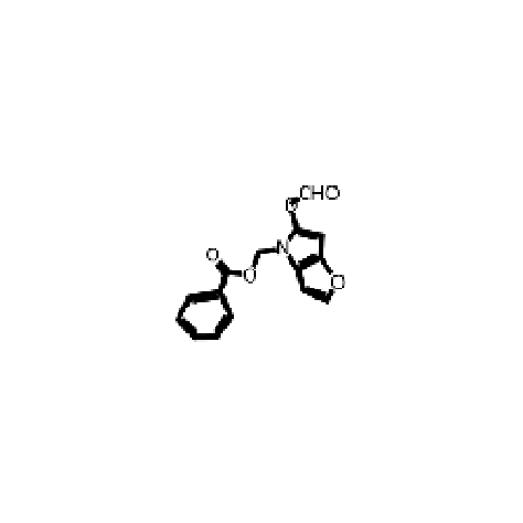 O=COc1cc2occc2n1COC(=O)c1ccccc1